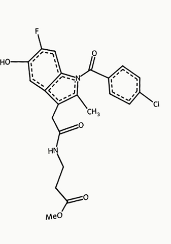 COC(=O)CCNC(=O)Cc1c(C)n(C(=O)c2ccc(Cl)cc2)c2cc(F)c(O)cc12